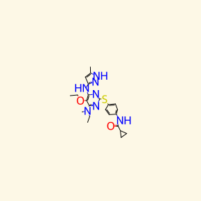 CCOc1c(Nc2cc(C)[nH]n2)nc(Sc2ccc(NC(=O)C3CC3)cc2)nc1N(C)CC